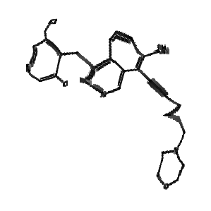 COc1ccc2c(Cc3c(Cl)cncc3Cl)nncc2c1C#CCCCN1CCOCC1